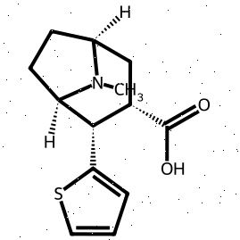 CN1[C@H]2CC[C@@H]1[C@@H](c1cccs1)[C@@H](C(=O)O)C2